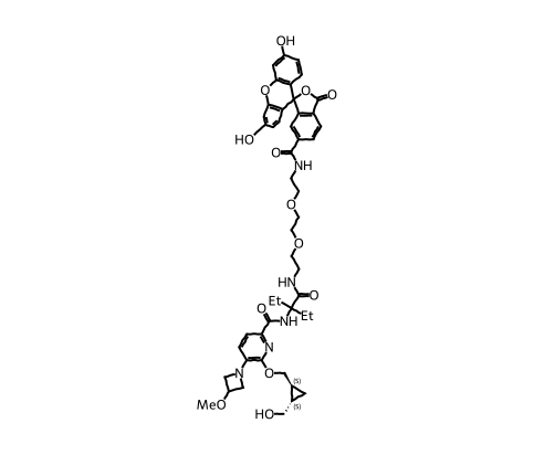 CCC(CC)(NC(=O)c1ccc(N2CC(OC)C2)c(OC[C@H]2C[C@@H]2CO)n1)C(=O)NCCOCCOCCNC(=O)c1ccc2c(c1)C1(OC2=O)c2ccc(O)cc2Oc2cc(O)ccc21